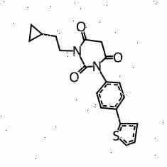 O=C1CC(=O)N(c2ccc(-c3cccs3)cc2)C(=O)N1CCC1CC1